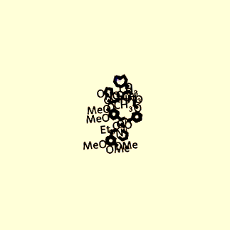 CC[C@H](C(=O)N1CCCC[C@H]1C(=O)O[C@H](CCc1ccc(OC)c(OC)c1)c1cccc(OCC(=O)NCC(OC2CC/C=C/CCC2)C(C)(C)OCC(C)(C)C(=O)ON2C(=O)CCC2=O)c1)c1cc(OC)c(OC)c(OC)c1